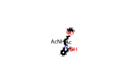 CC(=O)N[C@](CCCCB1OC(C)(C)C(C)(C)O1)(CCN1Cc2ccccc2C[C@H]1CO)C(C)=O